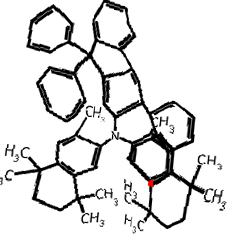 Cc1cc2c(cc1N(c1cc3c(cc1C)C(C)(C)CCC3(C)C)c1cc3c(cc1-c1cccc4c1CCCC4)-c1ccccc1C3(c1ccccc1)c1ccccc1)C(C)(C)CCC2(C)C